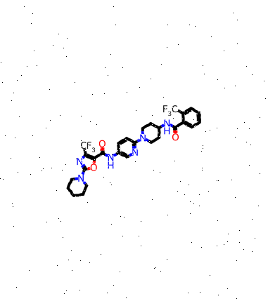 O=C(NC1CCN(c2ccc(NC(=O)c3oc(N4CCCCC4)nc3C(F)(F)F)cn2)CC1)c1ccccc1C(F)(F)F